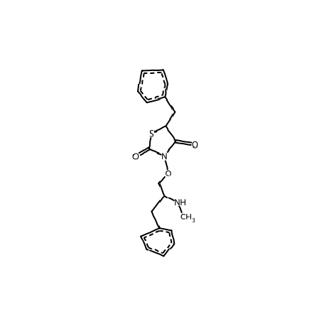 CNC(CON1C(=O)SC(Cc2ccccc2)C1=O)Cc1ccccc1